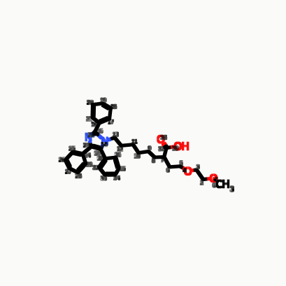 COCCOCCC(CCCCCCn1c(-c2ccccc2)nc(-c2ccccc2)c1-c1ccccc1)C(=O)O